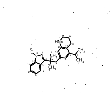 CC(C)c1cc(CC(C)(C)c2nn(C)c3ccccc23)cc2c1CCCN2